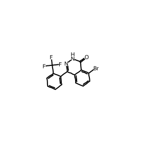 O=c1[nH]nc(-c2ccccc2C(F)(F)F)c2cccc(Br)c12